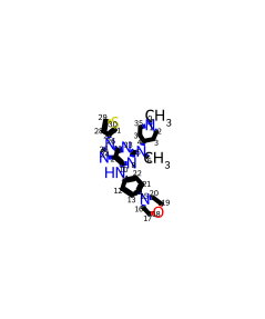 CN1CCC(N(C)c2nc(Nc3ccc(N4CCOCC4)cc3)c3ncn(-c4ccsc4)c3n2)CC1